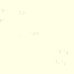 Cc1nnc(CCCCCNC(=O)CCC(N)C(O)O)nn1